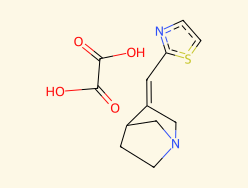 C(=C1CN2CCC1C2)c1nccs1.O=C(O)C(=O)O